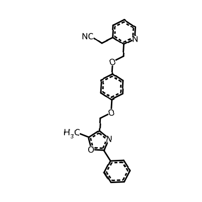 Cc1oc(-c2ccccc2)nc1COc1ccc(OCc2ncccc2CC#N)cc1